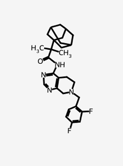 CC(C)(C(=O)Nc1ncnc2c1CCN(Cc1ccc(F)cc1F)C2)C12CC3CC(CC(C3)C1)C2